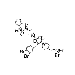 CCN(CC)CCC1CCN(C(=O)[C@@H](Cc2ccc(Br)c(Br)c2)OC(=O)N2CCC(N3CCc4ccccc4NC3=O)CC2)CC1